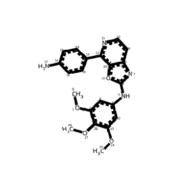 COc1cc(Nc2nc3ccnc(-c4ccc(N)cc4)c3o2)cc(OC)c1OC